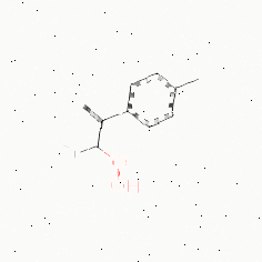 C=C(c1ccc(C)cc1)C(CC)OO